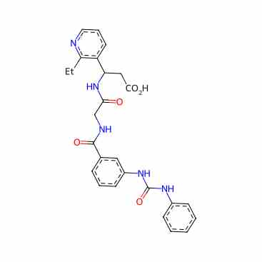 CCc1ncccc1C(CC(=O)O)NC(=O)CNC(=O)c1cccc(NC(=O)Nc2ccccc2)c1